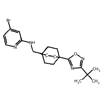 CC(C)(C)c1noc(C23CCC(CNc4cc(Br)ccn4)(CC2)CC3)n1